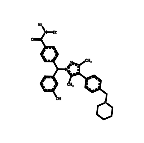 CCN(CC)C(=O)c1ccc(C(c2cccc(O)c2)n2nc(C)c(-c3ccc(CN4CCCCC4)cc3)c2C)cc1